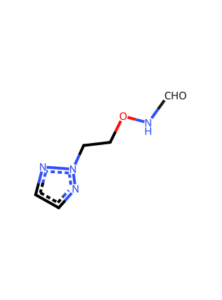 O=CNOCCn1nccn1